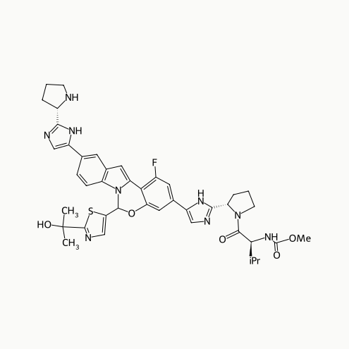 COC(=O)N[C@H](C(=O)N1CCC[C@H]1c1ncc(-c2cc(F)c3c(c2)OC(c2cnc(C(C)(C)O)s2)n2c-3cc3cc(-c4cnc([C@@H]5CCCN5)[nH]4)ccc32)[nH]1)C(C)C